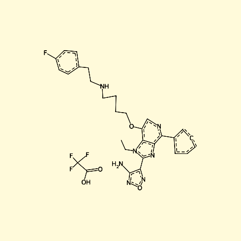 CCn1c(-c2nonc2N)nc2c(-c3ccccc3)ncc(OCCCCNCCc3ccc(F)cc3)c21.O=C(O)C(F)(F)F